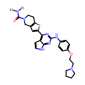 CCN(CC)C(=O)N1CCc2sc(-c3nc(Nc4ccc(OCCN5CCCC5)cc4)nc4[nH]ccc34)cc2C1